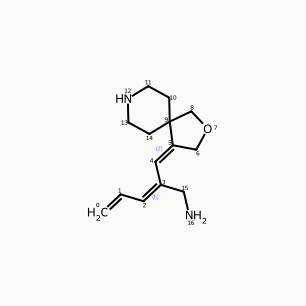 C=C/C=C(\C=C1/COCC12CCNCC2)CN